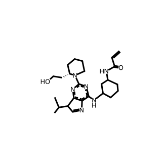 C=CC(=O)NC1CCCC(Nc2nc(N3CCCC[C@H]3CCO)nc3c2N=CC3C(C)C)C1